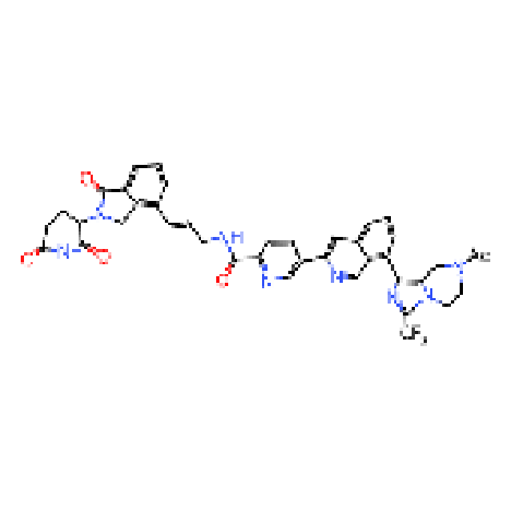 CC(=O)N1CCn2c(C(F)(F)F)nc(-c3cccc4cc(-c5ccc(C(=O)NC/C=C/c6cccc7c6CN(C6CCC(=O)NC6=O)C7=O)nc5)ncc34)c2C1